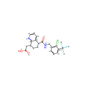 O=C(O)CC1CCC(C(=O)NCc2cccc(C(F)(F)F)c2Cl)c2cccnc21